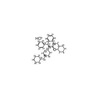 Cl.O=C1N(CC2CCCCC2)c2ccccc2C(c2ccccc2)N1C1CCN(CC2CCCCC2)CC1